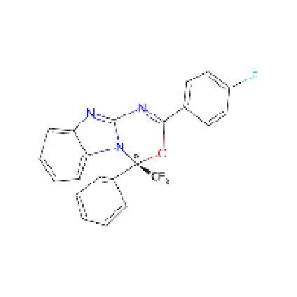 Fc1ccc(C2=Nc3nc4ccccc4n3[C@](c3ccccc3)(C(F)(F)F)O2)cc1